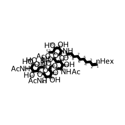 CCCCCC/C=C\CCCCCCCC(=O)N[C@@H]1C(O[C@@H]2C(CO)OC(O[C@@H]3C(CO)OC(O[C@@H]4C(COS(=O)(=O)O)OC(O)[C@@H](NC(C)=O)[C@H]4O)[C@@H](NC(C)=O)[C@H]3O)[C@@H](NC(C)=O)[C@H]2O)OC(COC(C)=O)[C@@H](O)[C@@H]1O